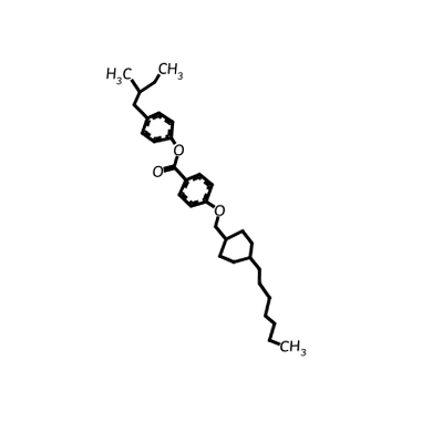 CCCCCCCC1CCC(COc2ccc(C(=O)Oc3ccc(CC(C)CC)cc3)cc2)CC1